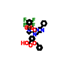 O=C(O)c1ccc(N(Cc2cnc(C3CCCCC3)cn2)C(=O)[C@H]2CCN2S(=O)(=O)c2c(F)c(F)cc(F)c2F)cc1OCc1ccccc1